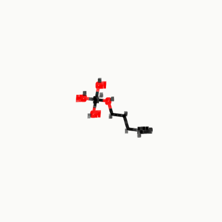 CNCCCO[Si](O)(O)O